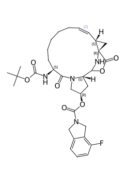 CC(C)(C)OC(=O)N[C@H]1CCCCC/C=C\[C@@H]2C[C@@]23NC(OC3=O)[C@@H]2C[C@@H](OC(=O)N3Cc4cccc(F)c4C3)CN2C1=O